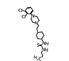 CCCNC(=S)NC1CCC(CCN2CCN(c3cccc(Cl)c3Cl)CC2)CC1